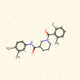 Cc1ccc(NC(=O)C2CCCN(C(=O)c3c(C)cccc3F)C2)cc1C